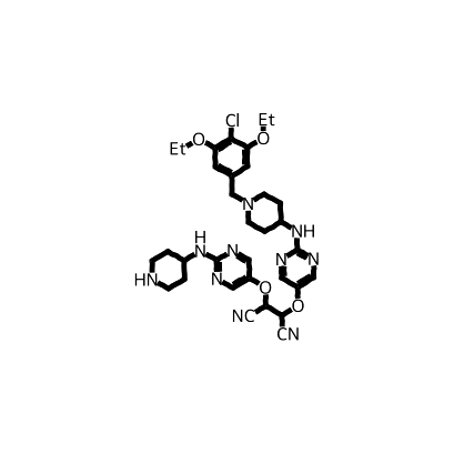 CCOc1cc(CN2CCC(Nc3ncc(OC(C#N)C(C#N)Oc4cnc(NC5CCNCC5)nc4)cn3)CC2)cc(OCC)c1Cl